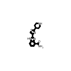 NC(=O)c1cccc2[nH]c(-c3csc(C4CCNCC4)n3)nc12